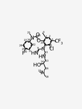 Cc1cc(C(F)(F)F)c(Cl)c(N(C=N)CNCC(O)CN(C)C)c1OC(=O)N(C)c1ccc(F)cc1